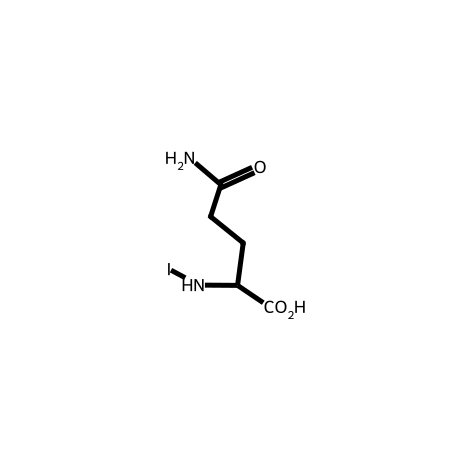 NC(=O)CCC(NI)C(=O)O